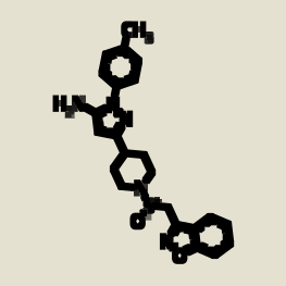 Cc1ccc(-n2nc(C3CCN([S+]([O-])Cc4noc5ccccc45)CC3)cc2N)cc1